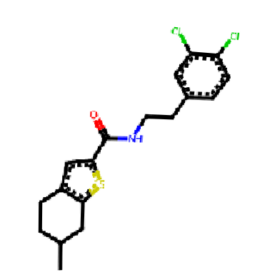 CC1CCc2cc(C(=O)NCCc3ccc(Cl)c(Cl)c3)sc2C1